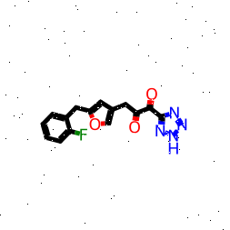 O=C(Cc1coc(Cc2ccccc2F)c1)C(=O)c1nn[nH]n1